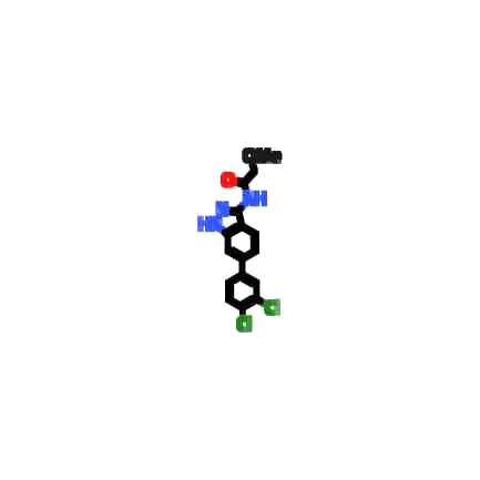 COCC(=O)Nc1n[nH]c2cc(-c3ccc(Cl)c(Cl)c3)ccc12